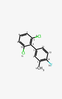 Cc1cc(-c2c(Cl)cccc2Cl)ccc1F